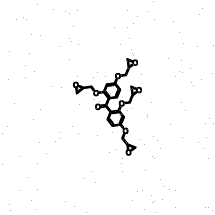 O=C(c1ccc(OCC2CO2)cc1OCC1CO1)c1ccc(OCC2CO2)cc1OCC1CO1